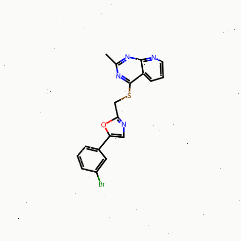 Cc1nc(SCc2ncc(-c3cccc(Br)c3)o2)c2cccnc2n1